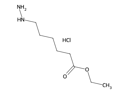 CCOC(=O)CCCCCNN.Cl